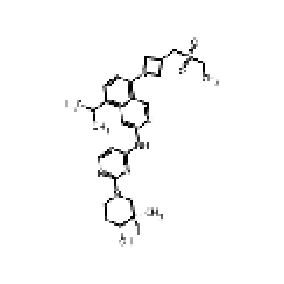 CCS(=O)(=O)CC1CN(c2ccc(C(C)C)c3cc(Nc4ccnc(N5CC[C@@H](O)[C@](C)(F)C5)n4)ncc23)C1